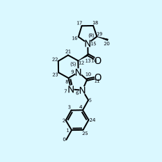 Cc1ccc(Cn2nc3n(c2=O)[C@H](C(=O)N2CCC[C@H]2C)CCC3)cc1